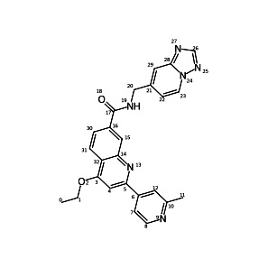 CCOc1cc(-c2ccnc(C)c2)nc2cc(C(=O)NCc3ccn4ncnc4c3)ccc12